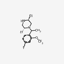 CC[C@H]1CN(C(C)c2ccc(F)cc2OC(F)(F)F)[C@H](CC)CN1